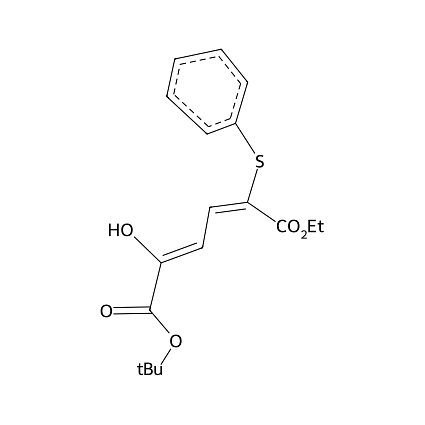 CCOC(=O)C(=CC=C(O)C(=O)OC(C)(C)C)Sc1ccccc1